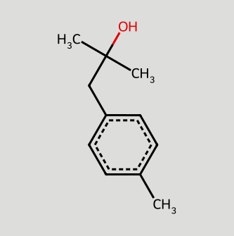 Cc1ccc(CC(C)(C)O)cc1